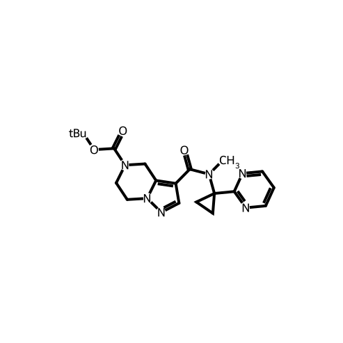 CN(C(=O)c1cnn2c1CN(C(=O)OC(C)(C)C)CC2)C1(c2ncccn2)CC1